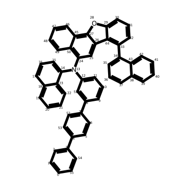 c1ccc(-c2ccc(-c3cccc(N(c4cccc5ccccc45)c4cc5c(oc6cccc(-c7cccc8ccccc78)c65)c5ccccc45)c3)cc2)cc1